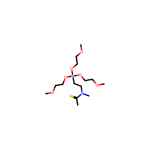 COCCO[Si](CCN(C)C(C)=S)(OCCOC)OCCOC